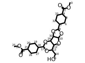 COC(=O)C1CCC(C2OC3OC4C(CO)OC(C5CCC(C(=O)OC)CC5)OC4C3O2)CC1